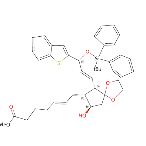 COC(=O)CCCC=CC[C@H]1[C@H](O)CC2(OCCO2)[C@H]1C=C[C@@H](O[Si](c1ccccc1)(c1ccccc1)C(C)(C)C)c1cc2ccccc2s1